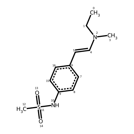 CCN(C)C=Cc1ccc(NS(C)(=O)=O)cc1